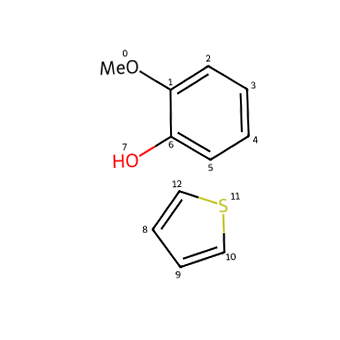 COc1ccccc1O.c1ccsc1